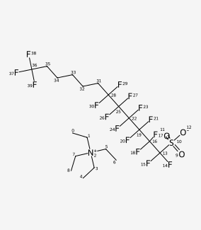 CC[N+](CC)(CC)CC.O=S(=O)([O-])C(F)(F)C(F)(F)C(F)(F)C(F)(F)C(F)(F)C(F)(F)CCCCCC(F)(F)F